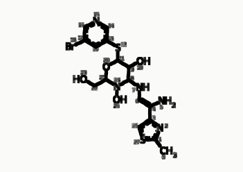 Cc1nc(/C(N)=C/NC2C(O)C(Sc3cncc(Br)c3)OC(CO)N2O)cs1